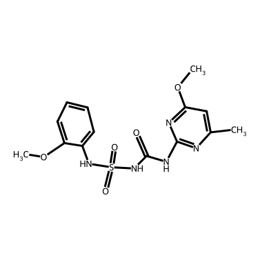 COc1cc(C)nc(NC(=O)NS(=O)(=O)Nc2ccccc2OC)n1